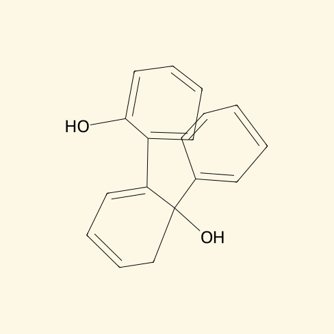 Oc1ccccc1C1=CC=CCC1(O)c1ccccc1